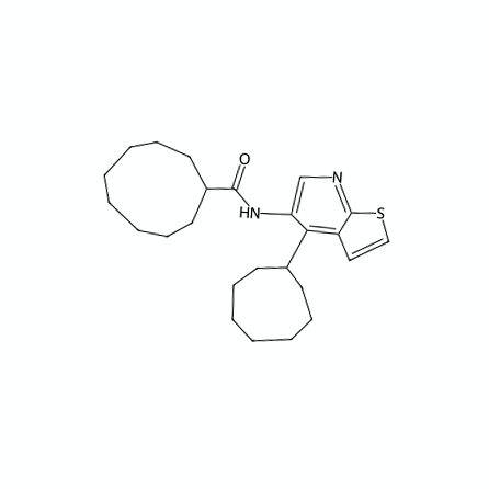 O=C(Nc1cnc2sccc2c1C1CCCCCCC1)C1CCCCCCCC1